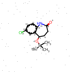 CC(C)(C)[Si](C)(C)OC1CCC(=O)Nc2ccc(Cl)cc21